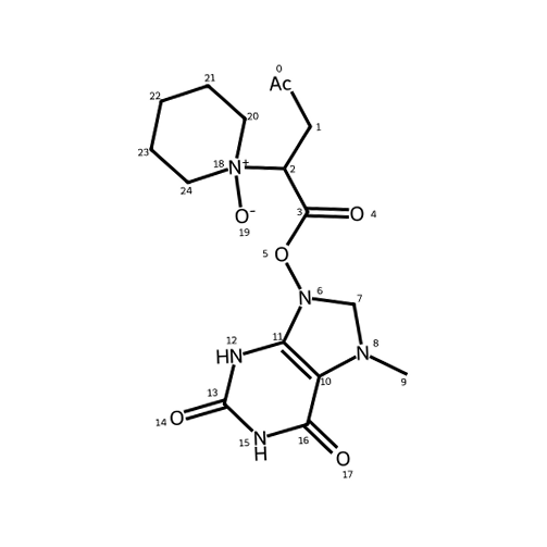 CC(=O)CC(C(=O)ON1CN(C)c2c1[nH]c(=O)[nH]c2=O)[N+]1([O-])CCCCC1